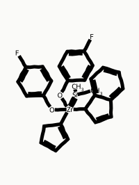 C[Si](C)=[Zr]([O]c1ccc(F)cc1)([O]c1ccc(F)cc1)([C]1=CC=CC1)[CH]1C=Cc2ccccc21